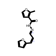 Cc1occc1C(=O)N/N=C/C=C\c1ccco1